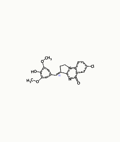 COc1cc(/C=C2\CCn3c2nc(=O)c2cc(Cl)ccc23)cc(OC)c1O